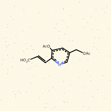 CC(=O)OCc1cnc(/C=C/C(=O)O)c(OC(C)=O)c1